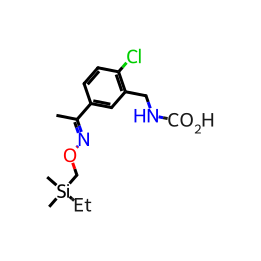 CC[Si](C)(C)CON=C(C)c1ccc(Cl)c(CNC(=O)O)c1